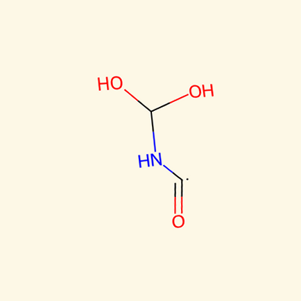 O=[C]NC(O)O